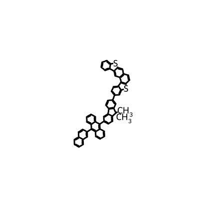 CC1(C)c2ccc(-c3c4ccccc4c(-c4ccc5ccccc5c4)c4ccccc34)cc2-c2ccc(-c3ccc4c(c3)sc3ccc5cc6sc7ccccc7c6cc5c34)cc21